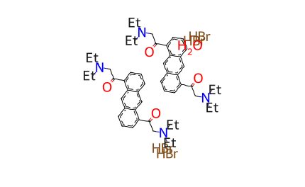 Br.Br.Br.Br.CCN(CC)CC(=O)c1cccc2cc3c(C(=O)CN(CC)CC)cccc3cc12.CCN(CC)CC(=O)c1cccc2cc3c(C(=O)CN(CC)CC)cccc3cc12.O